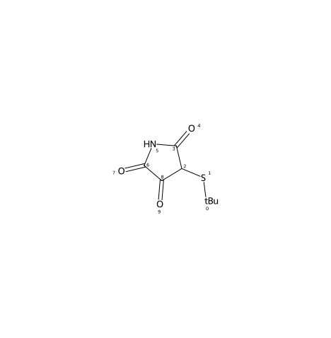 CC(C)(C)SC1C(=O)NC(=O)C1=O